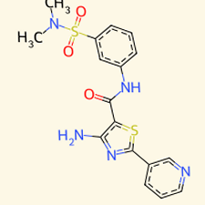 CN(C)S(=O)(=O)c1cccc(NC(=O)c2sc(-c3cccnc3)nc2N)c1